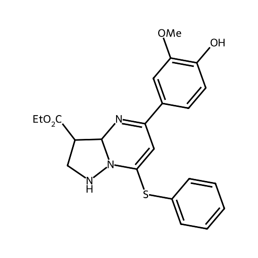 CCOC(=O)C1CNN2C(Sc3ccccc3)=CC(c3ccc(O)c(OC)c3)=NC12